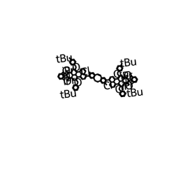 CC(C)c1cccc(C(C)C)c1N1C(=O)C2=CC(Oc3ccc(C(C)(C)C)cc3)=C3C4=CC=C(c5cc6c(cc5Cl)CCc5cc(C7=CC=C8C9=C(Oc%10ccc(C(C)(C)C)cc%10)C=C%10C(=O)N(c%11c(C(C)C)cccc%11C(C)C)C(=O)C%11=CC(Oc%12ccc(C(C)(C)C)cc%12)=C(C%12=CC=CC7C%128)C9C%11%10)c(Cl)cc5/C=C\6)C5C=CC=C(C6=C(Oc7cccc(C(C)(C)C)c7)C=C(C1=O)C2C36)C45